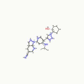 CC(C)Nc1cc(-n2ncc3cc(C#N)cnc32)ncc1-c1cn([C@@H]2CCCC[C@H]2O)nn1